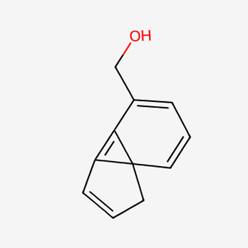 OCC1=CC=CC23CC=CC2=C13